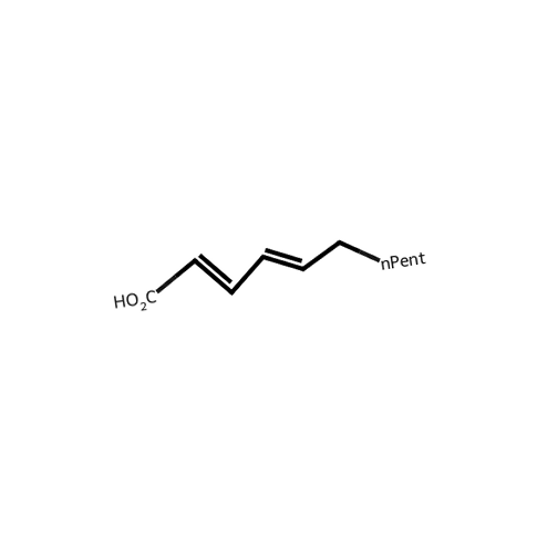 CCCCCC/C=C/C=C/C(=O)O